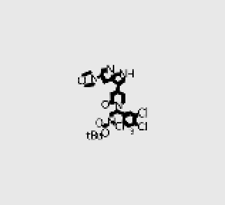 CN(CC(c1ccc(Cl)c(Cl)c1)n1ccc(-c2c[nH]c3ncc(N4CCOCC4)cc23)cc1=O)C(=O)OC(C)(C)C